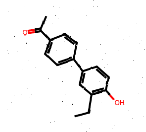 CCc1cc(-c2ccc(C(C)=O)cc2)ccc1O